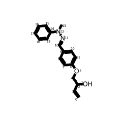 C=CC(O)COc1ccc(C=NN(C)c2ccccc2)cc1